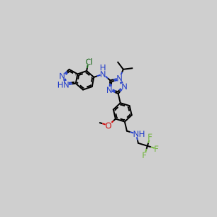 COc1cc(-c2nc(Nc3ccc4[nH]ncc4c3Cl)n(C(C)C)n2)ccc1CNCC(F)(F)F